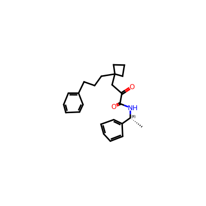 C[C@@H](NC(=O)C(=O)CC1(CCCc2ccccc2)CCC1)c1ccccc1